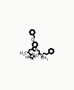 CC(Cc1cn(CC(=O)N(C)CCc2ccccc2)c2ccc(OCc3ccccc3)cc12)c1nnn[nH]1